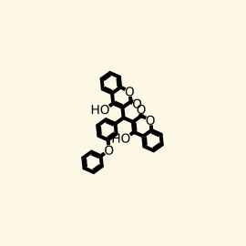 O=c1oc2ccccc2c(O)c1C(c1cccc(Oc2ccccc2)c1)c1c(O)c2ccccc2oc1=O